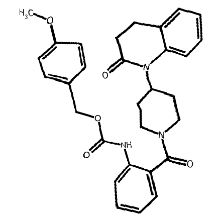 COc1ccc(COC(=O)Nc2ccccc2C(=O)N2CCC(N3C(=O)CCc4ccccc43)CC2)cc1